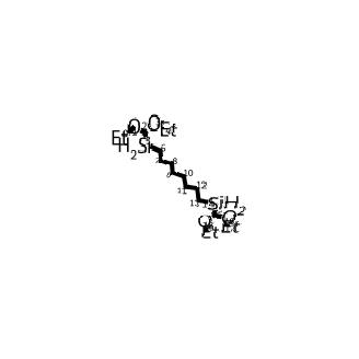 CCOC(OCC)[SiH2]CCCCCCCC[SiH2]C(OCC)OCC